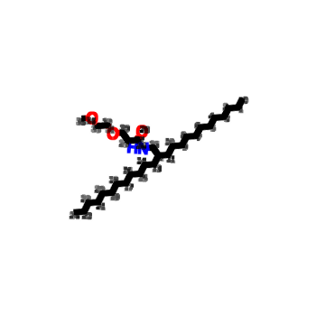 CCCCCCCCCCCCC(CCCCCCCCCCCC)CNC(=O)CCOCCOC